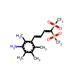 Cc1c(C)c(N)c(C)c(C=CC=C(S(=O)(=O)C(F)(F)F)S(=O)(=O)C(F)(F)F)c1C